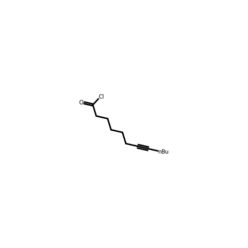 CCCCC#CCCCCCC(=O)Cl